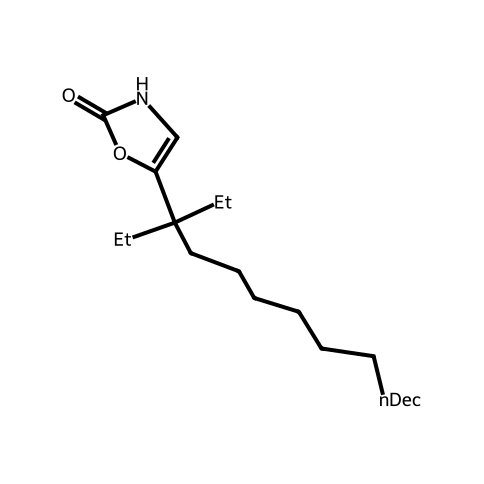 CCCCCCCCCCCCCCCCC(CC)(CC)c1c[nH]c(=O)o1